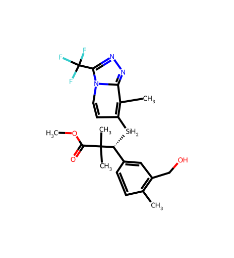 COC(=O)C(C)(C)[C@H]([SiH2]c1ccn2c(C(F)(F)F)nnc2c1C)c1ccc(C)c(CO)c1